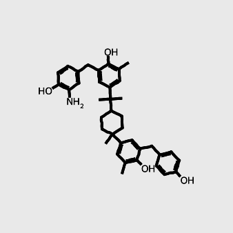 Cc1cc(C2(C)CCC(C(C)(C)c3cc(C)c(O)c(Cc4ccc(O)c(N)c4)c3)CC2)cc(Cc2ccc(O)cc2)c1O